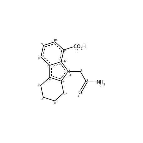 NC(=O)Cn1c2c(c3cccc(C(=O)O)c31)CCCC2